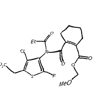 CCOC(=O)Cc1sc(F)c(N(C(=O)CC)C(=O)C2=C(C(=O)OCOC)CCCC2)c1Cl